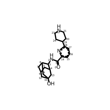 O=C(NC1C2CC3CC1CC(O)(C3)C2)c1cccc(C2CCNCC2)n1